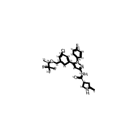 C=C1C[C@H](C(=O)Nc2cc(-c3cc(Cl)cc(CO[C@H](C)C(F)(F)F)c3)n(-c3ccc(F)cc3)n2)CN1